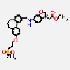 COC(=O)C[C@@H]1COc2cc(NCc3ccc4c(c3)-c3ccc(OCCCS(C)(=O)=O)cc3CCC4)ccc21